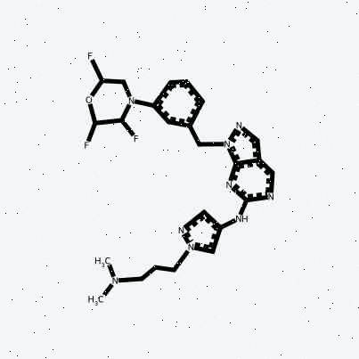 CN(C)CCCn1cc(Nc2ncc3cnn(Cc4cccc(N5CC(F)OC(F)C5F)c4)c3n2)cn1